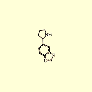 c1nc2cc(C3CCCN3)ccc2o1